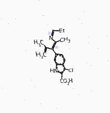 C=C(C)/C(=C(C)\N=C/CC)c1ccc2c(Cl)c(C(=O)O)[nH]c2c1